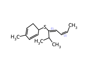 C/C=C\C=C(\SC1C=CC(C)=CC1)C(C)C